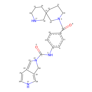 O=C(Nc1ccc(C(=O)N2CCCC3(CCCNC3)C2)cc1)N1C=C2C=CNC=C2C1